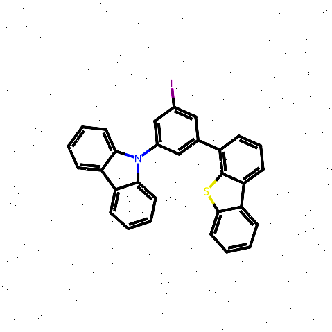 Ic1cc(-c2cccc3c2sc2ccccc23)cc(-n2c3ccccc3c3ccccc32)c1